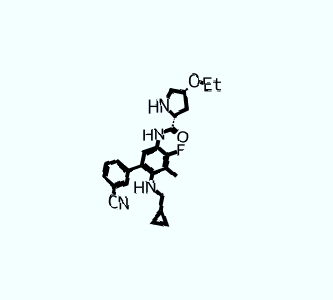 CCO[C@H]1CN[C@@H](C(=O)Nc2cc(-c3cccc(C#N)c3)c(NCC3CC3)c(C)c2F)C1